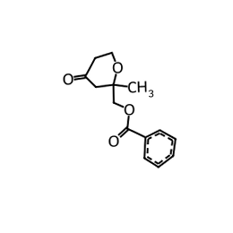 CC1(COC(=O)c2ccccc2)CC(=O)CCO1